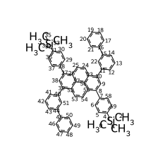 C[Si](C)(C)c1ccc(-c2cc(-c3cccc(-c4ccccc4)c3)c3ccc4c(-c5ccc([Si](C)(C)C)cc5)cc(-c5cccc(-c6ccccc6)c5)c5ccc2c3c45)cc1